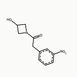 O=C(Cc1cccc([N+](=O)[O-])c1)N1CC(O)C1